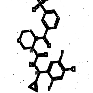 CS(=O)(=O)c1cccc(C(=O)N2CCOC[C@@H]2C(=O)N[C@H](C2=CC2)c2cc(F)c(Cl)cc2F)c1